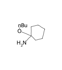 CCCCOC1(N)CCCCC1